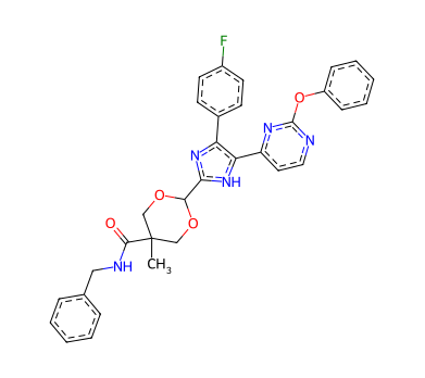 CC1(C(=O)NCc2ccccc2)COC(c2nc(-c3ccc(F)cc3)c(-c3ccnc(Oc4ccccc4)n3)[nH]2)OC1